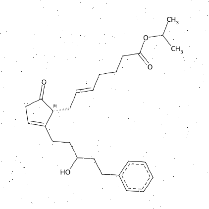 CC(C)OC(=O)CCCC=CC[C@H]1C(=O)CC=C1CCC(O)CCc1ccccc1